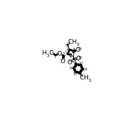 CCOC(=O)[C@@H]1[C@@H](CC)C(=O)N1S(=O)(=O)c1ccc(C)cc1